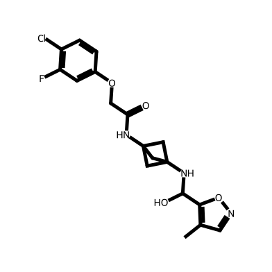 Cc1cnoc1C(O)NC12CC(NC(=O)COc3ccc(Cl)c(F)c3)(C1)C2